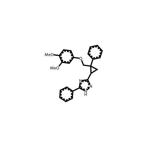 COc1ccc(OCC2(c3ccccc3)CC2c2n[nH]c(-c3ccccc3)n2)cc1OC